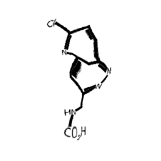 O=C(O)NCc1cc2nc(Cl)ccc2nn1